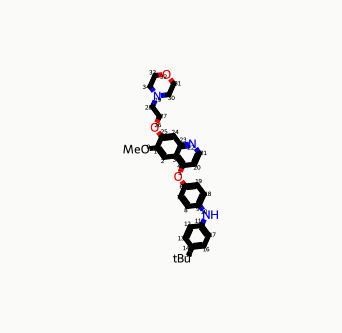 COc1cc2c(Oc3ccc(Nc4ccc(C(C)(C)C)cc4)cc3)ccnc2cc1OCCN1CCOCC1